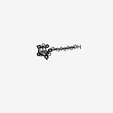 Cc1ccc(NC(=O)Nc2ccccc2)c(C#Cc2cccc(C#Cc3cc(C)ccc3NC(=O)Nc3ccc(OCCOCCOCCOCCOCCOCCO)cc3)n2)c1